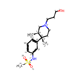 C[C@H]1CN(CCCO)CC[C@]1(C)c1cccc(NS(C)(=O)=O)c1